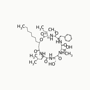 CCCCCCCC1CC(=O)N[C@H](CC(C)C)C(=O)N[C@@H](CO)C(=O)NC([C@@H](C)O)C(=O)N[C@H](Cc2ccccc2)C(=O)N[C@@H]([C@@H](C)CC)C(=O)O1